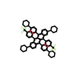 FC(F)(F)c1ccc(-c2c3cc(C4CCCCC4)ccc3c(-c3ccc(C4CCCCC4)cc3)c3c(-c4ccc(C(F)(F)F)cc4)c4cc(C5CCCCC5)ccc4c(-c4ccc(C5CCCCC5)cc4)c23)cc1